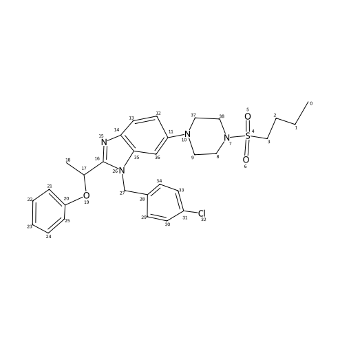 CCCCS(=O)(=O)N1CCN(c2ccc3nc(C(C)Oc4ccccc4)n(Cc4ccc(Cl)cc4)c3c2)CC1